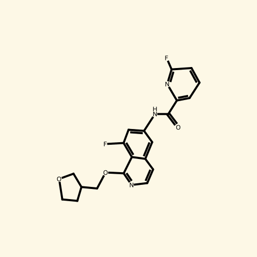 O=C(Nc1cc(F)c2c(OCC3CCOC3)nccc2c1)c1cccc(F)n1